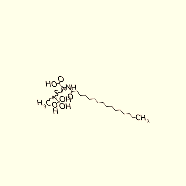 CCCCCCCCCCCCCCCC(=O)N[C@@H](CS[C@H](CC)C(O)(O)O)C(=O)O